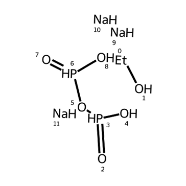 CCO.O=[PH](O)O[PH](=O)O.[NaH].[NaH].[NaH]